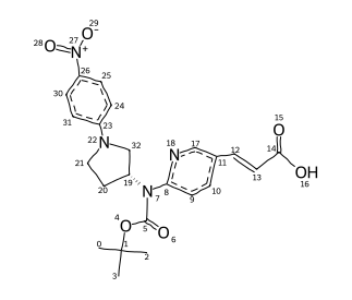 CC(C)(C)OC(=O)N(c1ccc(/C=C/C(=O)O)cn1)[C@@H]1CCN(c2ccc([N+](=O)[O-])cc2)C1